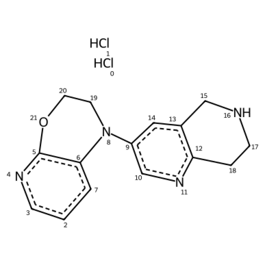 Cl.Cl.c1cnc2c(c1)N(c1cnc3c(c1)CNCC3)CCO2